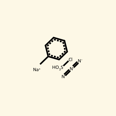 Cc1ccccc1.O=S(=O)(O)Cl.[N-]=[N+]=[N-].[Na+]